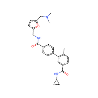 Cc1ccc(C(=O)NC2CC2)cc1-c1ccc(C(=O)NCc2ccc(CN(C)C)o2)cc1